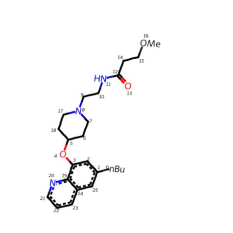 CCCCc1cc(OC2CCN(CCNC(=O)CCOC)CC2)c2ncccc2c1